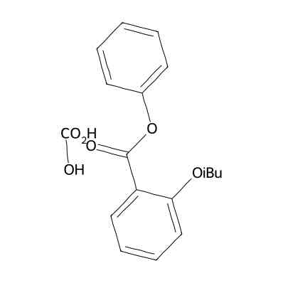 CC(C)COc1ccccc1C(=O)Oc1ccccc1.O=C(O)O